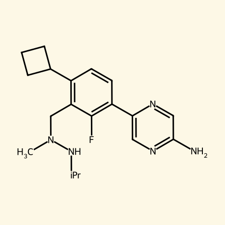 CC(C)NN(C)Cc1c(C2CCC2)ccc(-c2cnc(N)cn2)c1F